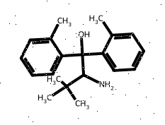 Cc1ccccc1C(O)(c1ccccc1C)C(N)C(C)(C)C